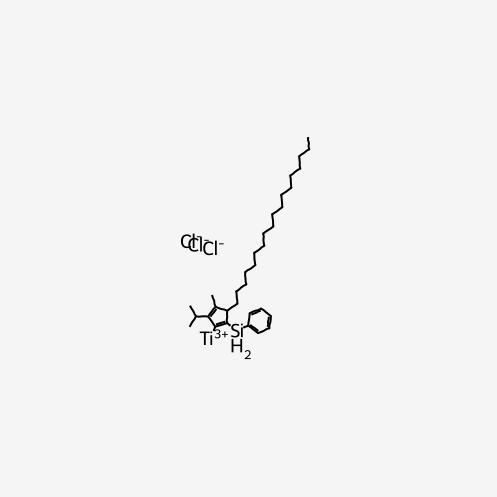 CCCCCCCCCCCCCCCCCCC1C(C)=C(C(C)C)[C]([Ti+3])=C1[SiH2]c1ccccc1.[Cl-].[Cl-].[Cl-]